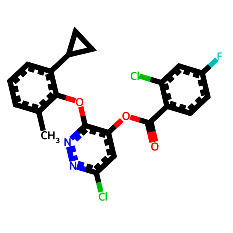 Cc1cccc(C2CC2)c1Oc1nnc(Cl)cc1OC(=O)c1ccc(F)cc1Cl